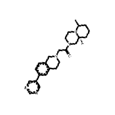 CC1CCC[C@H]2CN(C(=O)CN3CCc4cc(-c5cncnc5)ccc4C3)CCN12